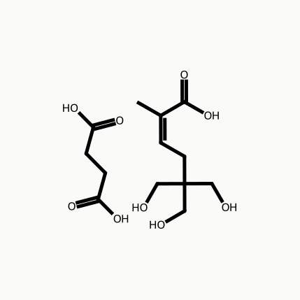 CC(=CCC(CO)(CO)CO)C(=O)O.O=C(O)CCC(=O)O